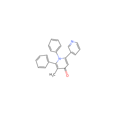 Cc1c(-c2ccccc2)n(-c2ccccc2)c(-c2cccnc2)cc1=O